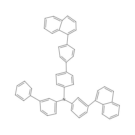 c1ccc(-c2cccc(N(c3ccc(-c4ccc(-c5cccc6ccccc56)cc4)cc3)c3cccc(-c4cccc5ccccc45)c3)c2)cc1